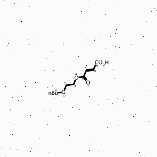 CCCCOCCOC(=O)/C=C/C(=O)O